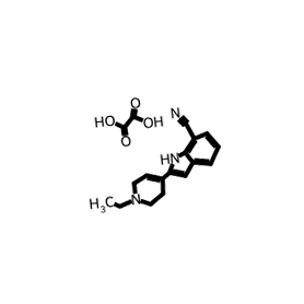 CCN1CC=C(c2cc3cccc(C#N)c3[nH]2)CC1.O=C(O)C(=O)O